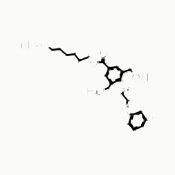 CCCCCCCCCCCCCCCCOC(=O)c1cc(CO)c(OCCOc2ccccc2)c(CO)c1